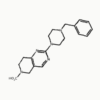 O=C(O)N1CCc2nc(N3CCN(Cc4ccccc4)CC3)ncc2C1